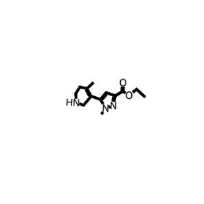 CCOC(=O)c1cc(C2=C(C)CCNC2)n(C)n1